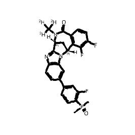 [2H]C([2H])([2H])N1C(=O)c2ccc(F)c(F)c2[C@H]2C[C@@H]1c1nc3ccc(-c4ccc(P(C)(C)=O)c(F)c4)cc3n12